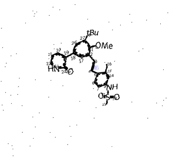 COc1c(/C=C/c2ccc(NS(C)(=O)=O)cc2C)cc(-c2ccc[nH]c2=O)cc1C(C)(C)C